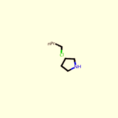 C1CCNC1.CCCCCl